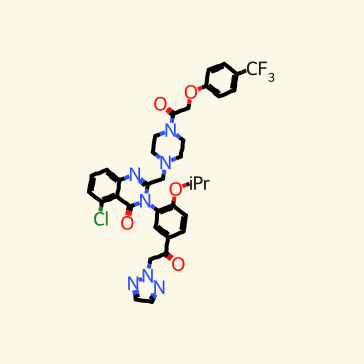 CC(C)Oc1ccc(C(=O)Cn2nccn2)cc1-n1c(CN2CCN(C(=O)COc3ccc(C(F)(F)F)cc3)CC2)nc2cccc(Cl)c2c1=O